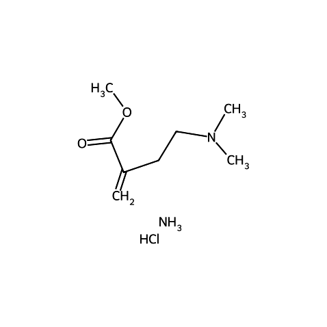 C=C(CCN(C)C)C(=O)OC.Cl.N